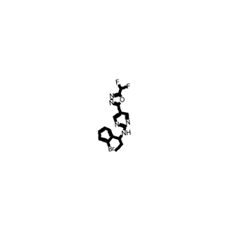 CCC(Nc1ncc(-c2nnc(C(F)F)o2)cn1)c1ccccc1Br